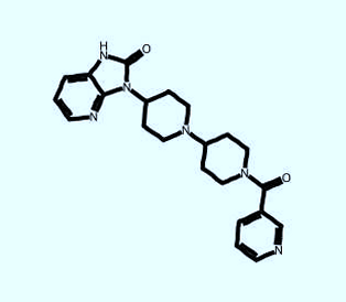 O=C(c1cccnc1)N1CCC(N2CCC(n3c(=O)[nH]c4cccnc43)CC2)CC1